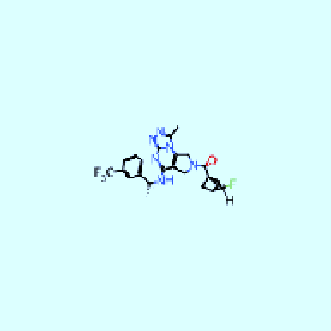 Cc1nnc2nc(N[C@H](C)c3cccc(C(F)(F)F)c3)c3c(n12)CN(C(=O)C12CC(C1)[C@@H](F)C2)C3